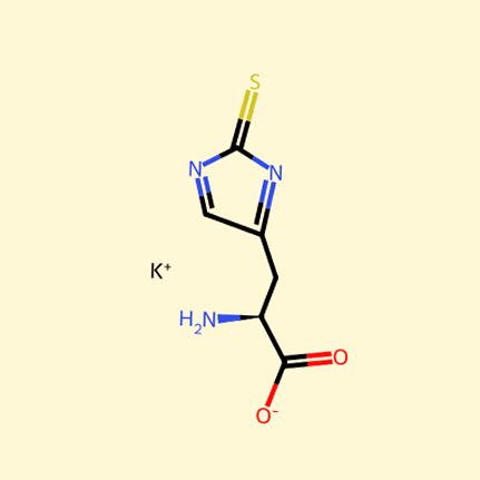 N[C@@H](CC1=NC(=S)N=C1)C(=O)[O-].[K+]